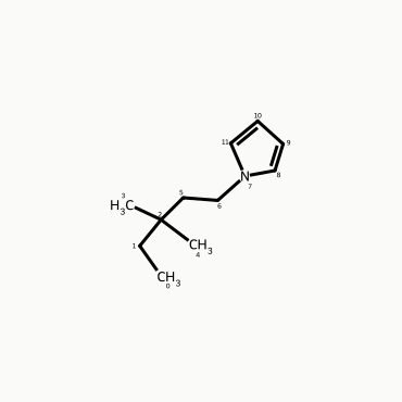 CCC(C)(C)CCn1cccc1